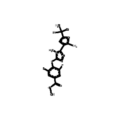 CCC(N)(CC)c1cc(-c2nnc(Sc3c(F)cc(C(=O)NO)cc3F)n2C)c(C)o1